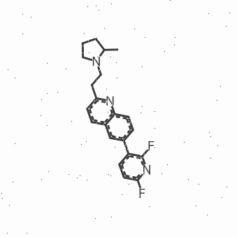 CC1CCCN1CCc1ccc2cc(-c3ccc(F)nc3F)ccc2n1